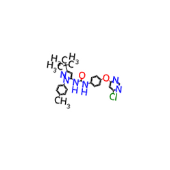 Cc1ccc(-n2nc(C(C)(C)C)cc2NC(=O)Nc2ccc(Oc3cc(Cl)ncn3)cc2)cc1